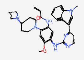 C=CC(=O)Nc1cc(Nc2nccc(-c3cn(C)c4ccccc34)n2)c(OC)cc1N1CCC(N2CCC2)CC1